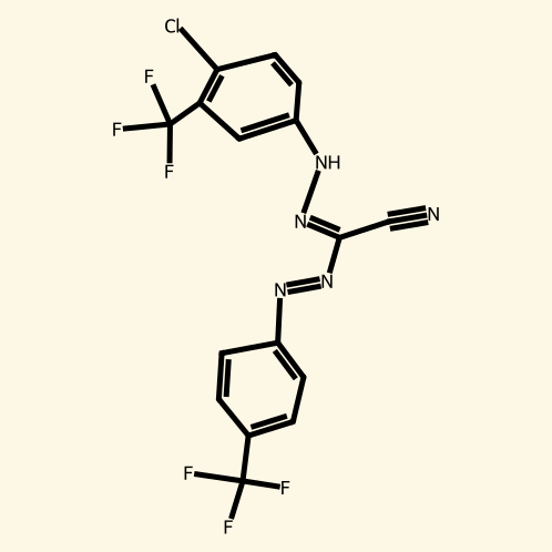 N#CC(N=Nc1ccc(C(F)(F)F)cc1)=NNc1ccc(Cl)c(C(F)(F)F)c1